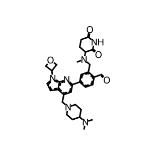 CN(C)C1CCN(Cc2cc(-c3ccc(C=O)c(CN(C)C4CCC(=O)NC4=O)c3)nc3c2ccn3C2COC2)CC1